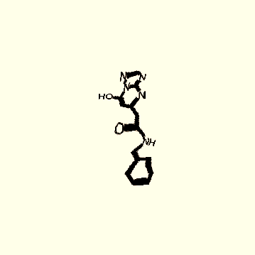 O=C(Cc1cc(O)n2ncnc2n1)NCc1ccccc1